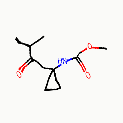 COC(=O)NC1(C(=O)C(C)C)CC1